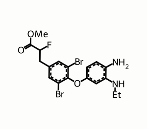 CCNc1cc(Oc2c(Br)cc(CC(F)C(=O)OC)cc2Br)ccc1N